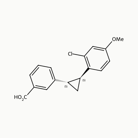 COc1ccc([C@H]2C[C@@H]2c2cccc(C(=O)O)c2)c(Cl)c1